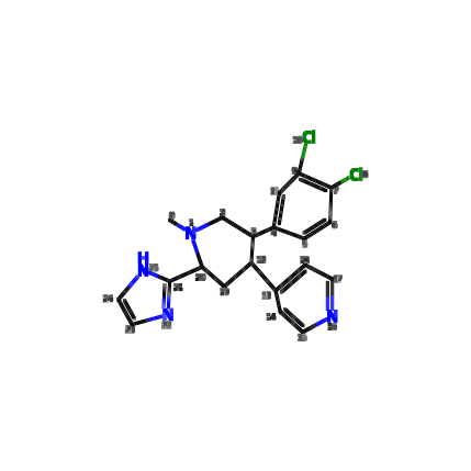 CN1CC(c2ccc(Cl)c(Cl)c2)C(c2ccncc2)CC1c1ncc[nH]1